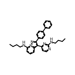 CCCCNc1nccc(-c2c(-c3ccc(-c4ccccc4)cc3)nn3c(NCCCC)cccc23)n1